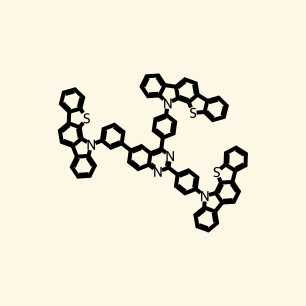 c1cc(-c2ccc3nc(-c4ccc(-n5c6ccccc6c6ccc7c8ccccc8sc7c65)cc4)nc(-c4ccc(-n5c6ccccc6c6ccc7c8ccccc8sc7c65)cc4)c3c2)cc(-n2c3ccccc3c3ccc4c5ccccc5sc4c32)c1